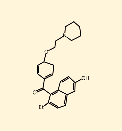 CCc1ccc2cc(O)ccc2c1C(=O)C1=CCC(OCCN2CCCCC2)C=C1